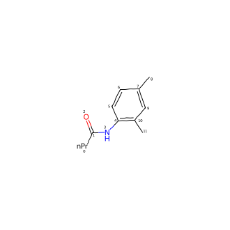 CCCC(=O)Nc1ccc(C)cc1C